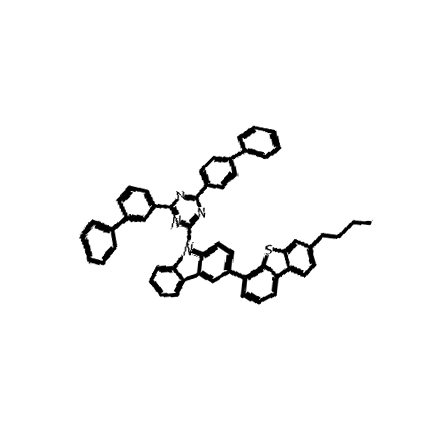 CCCCc1ccc2c(c1)sc1c(-c3ccc4c(c3)c3ccccc3n4-c3nc(-c4ccc(-c5ccccc5)cc4)nc(-c4cccc(-c5ccccc5)c4)n3)cccc12